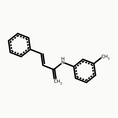 C=C(/C=C/c1ccccc1)Nc1cccc(C)c1